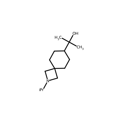 CC(C)N1CC2(CCC(C(C)(C)O)CC2)C1